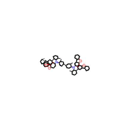 Cc1cc(-c2ccc(N(c3ccc4oc5ccccc5c4c3)c3c(C)cccc3-c3ccc4oc5ccccc5c4c3)c(C)c2)ccc1N(c1ccc2oc3ccccc3c2c1)c1c(C)cccc1-c1ccc2oc3ccccc3c2c1